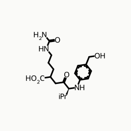 CC(C)[C@H](Nc1ccc(CO)cc1)C(=O)CC(CCCNC(N)=O)C(=O)O